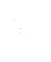 Cc1ccc(N(C)C(C)C)c(CN2C[C@@H]3N(C(=O)CN(C)N3C(=O)NCc3ccccc3)[C@@H](Cc3ccc(O)cc3)C2=O)c1